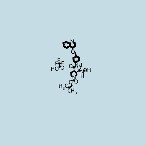 CC(C)COC(=O)N1CC[C@H](C(=O)Nc2ccc(COc3ccnc4ccccc34)cc2)[C@@H](C(=O)NO)C1.O=C(O)C(F)(F)F